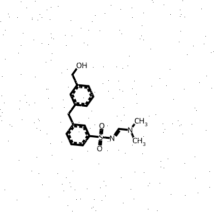 CN(C)C=NS(=O)(=O)c1cccc(Cc2cccc(CO)c2)c1